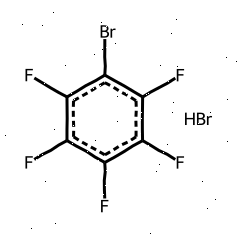 Br.Fc1c(F)c(F)c(Br)c(F)c1F